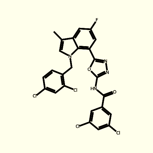 Cc1cn(Cc2ccc(Cl)cc2Cl)c2c(-c3nnc(NC(=O)c4cc(Cl)cc(Cl)c4)o3)cc(F)cc12